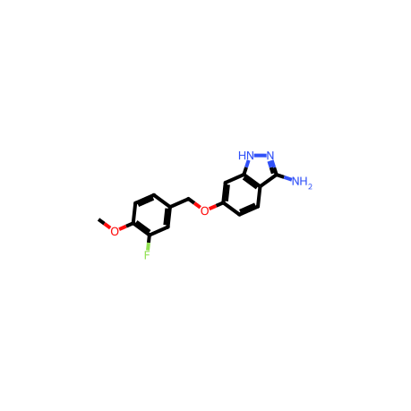 COc1ccc(COc2ccc3c(N)n[nH]c3c2)cc1F